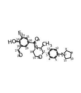 C[C@H]1[C@H](c2ccc(N3CCCC3)cc2)OCCN1C(=O)c1cc(F)c(O)c(C=O)c1